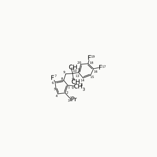 Cc1c(C(C)C)ccc(F)c1CC(C)(C)c1ccc(F)c(F)c1